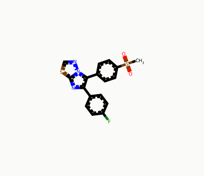 CS(=O)(=O)c1ccc(-c2c(-c3ccc(F)cc3)nc3scnn23)cc1